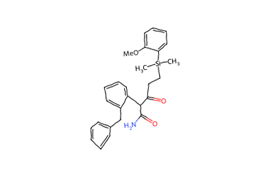 COc1ccccc1[Si](C)(C)CCC(=O)C(C(N)=O)c1ccccc1Cc1ccccc1